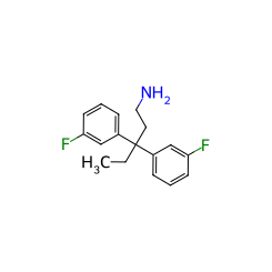 CCC(CCN)(c1cccc(F)c1)c1cccc(F)c1